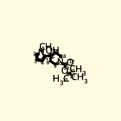 Cn1cccc1C1(O)CCN(C(=O)OC(C)(C)C)CC1